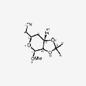 CO[C@H]1OC(CC#N)C[C@@H]2OC(C)(C)OC12